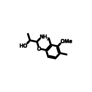 COc1c(C)ccc(OC(N)C(C)O)c1C